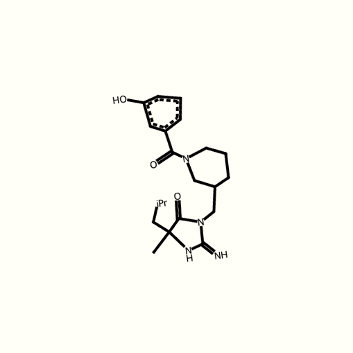 CC(C)CC1(C)NC(=N)N(CC2CCCN(C(=O)c3cccc(O)c3)C2)C1=O